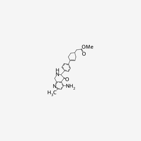 COC(=O)CC1CC=C(c2ccc(C3NCc4nc(C)cc(N)c4C3=O)cc2)CC1